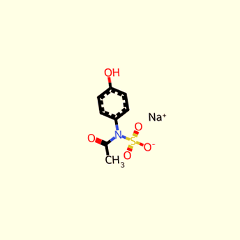 CC(=O)N(c1ccc(O)cc1)S(=O)(=O)[O-].[Na+]